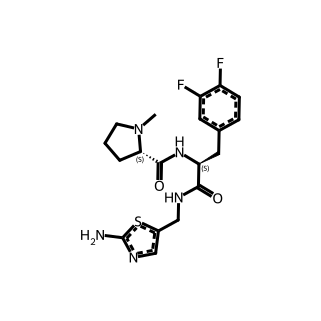 CN1CCC[C@H]1C(=O)N[C@@H](Cc1ccc(F)c(F)c1)C(=O)NCc1cnc(N)s1